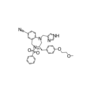 COCCOc1ccc(C[C@@H]2CN(Cc3c[nH]cn3)c3ccc(C#N)cc3CN2S(=O)(=O)c2ccccc2)cc1